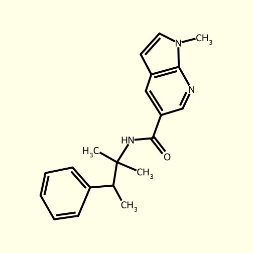 CC(c1ccccc1)C(C)(C)NC(=O)c1cnc2c(ccn2C)c1